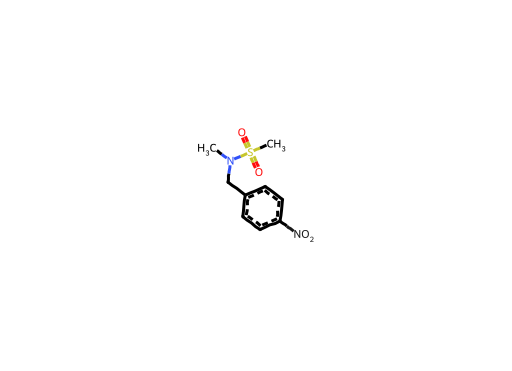 CN(Cc1ccc([N+](=O)[O-])cc1)S(C)(=O)=O